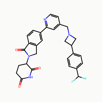 O=C1CCC(N2Cc3cc(-c4cc(CN5CC(c6ccc(C(F)F)cc6)C5)ccn4)ccc3C2=O)C(=O)N1